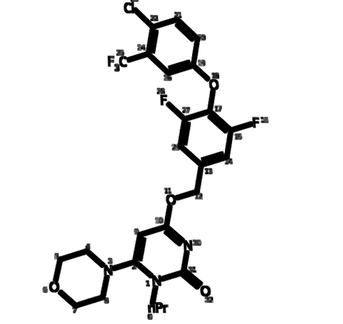 CCCn1c(N2CCOCC2)cc(OCc2cc(F)c(Oc3ccc(Cl)c(C(F)(F)F)c3)c(F)c2)nc1=O